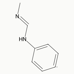 CN=CNc1cc[c]cc1